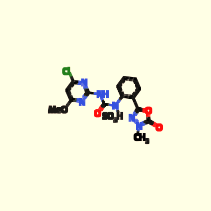 COc1cc(Cl)nc(NC(=O)N(c2ccccc2-c2nn(C)c(=O)o2)S(=O)(=O)O)n1